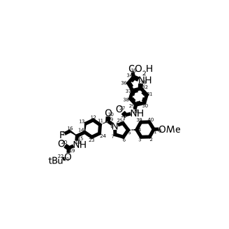 COC1CCC([C@@H]2CCN(C(=O)[C@H]3CC[C@H]([C@H](CF)NC(=O)OC(C)(C)C)CC3)[C@@H]2C(=O)Nc2ccc3[nH]c(C(=O)O)cc3c2)CC1